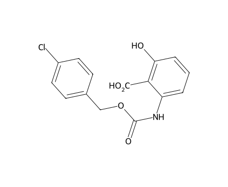 O=C(Nc1cccc(O)c1C(=O)O)OCc1ccc(Cl)cc1